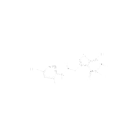 Bc1ccc(NC(=O)Cn2cnc3c2c(=O)n(C)c(=O)n3C)c(Cl)c1